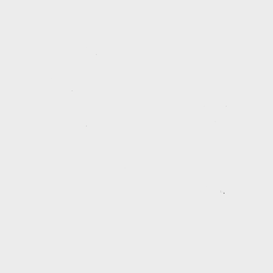 COC(=O)C1CC1c1ccc(OCc2cccnc2SCC2CC2)c(F)c1